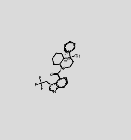 O=C(c1cccc2ncn(CC(F)(F)F)c12)N1CC[C@@](O)(c2ccccc2)[C@@H]2CCCCC21